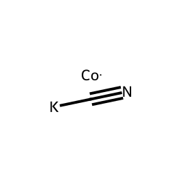 N#[C][K].[Co]